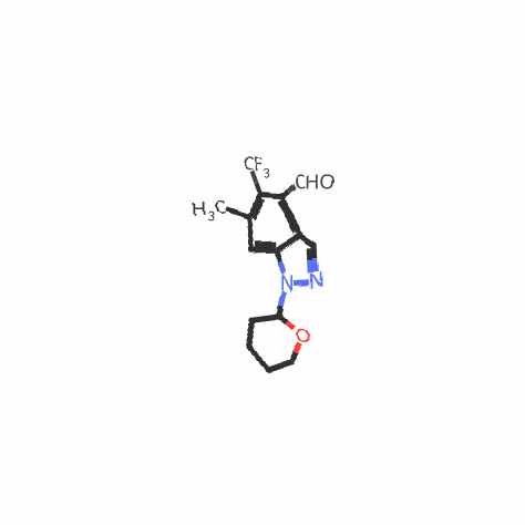 Cc1cc2c(cnn2C2CCCCO2)c(C=O)c1C(F)(F)F